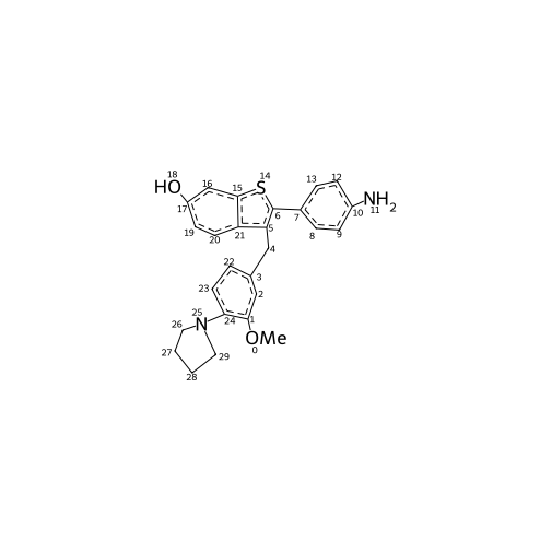 COc1cc(Cc2c(-c3ccc(N)cc3)sc3cc(O)ccc23)ccc1N1CCCC1